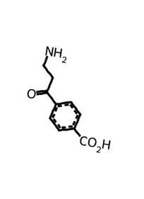 NCCC(=O)c1ccc(C(=O)O)cc1